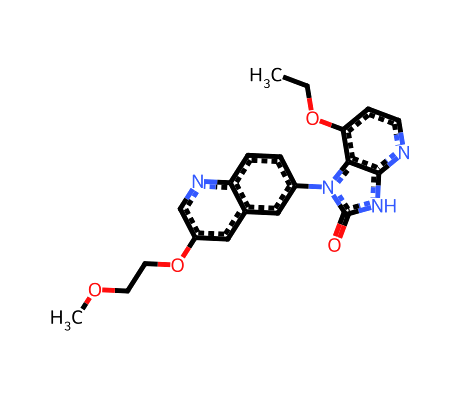 CCOc1ccnc2[nH]c(=O)n(-c3ccc4ncc(OCCOC)cc4c3)c12